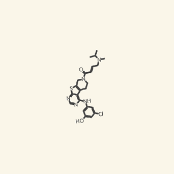 CC(C)N(C)C/C=C/C(=O)N1CCc2c(sc3ncnc(Nc4cc(O)cc(Cl)c4)c23)C1